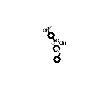 Cl.O=C(OC1CCN(Cc2ccccc2)CC1)c1ccc([N+](=O)[O-])cc1